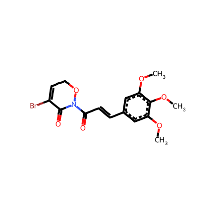 COc1cc(C=CC(=O)N2OCC=C(Br)C2=O)cc(OC)c1OC